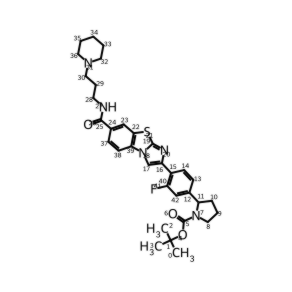 CC(C)(C)OC(=O)N1CCCC1c1ccc(-c2cn3c(n2)sc2cc(C(=O)NCCCN4CCCCC4)ccc23)c(F)c1